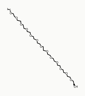 C#CCOCCOCCOCCOCCOCCOCCOCCOCCOCCOCCOCCOCCOSI